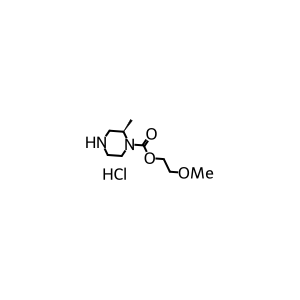 COCCOC(=O)N1CCNC[C@H]1C.Cl